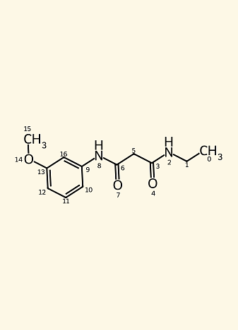 CCNC(=O)CC(=O)Nc1cccc(OC)c1